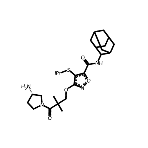 CC(C)Sc1c(OCC(C)(C)C(=O)N2CC[C@H](N)C2)noc1C(=O)NC1C2CC3CC(C2)CC1C3